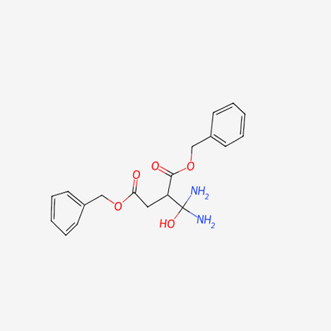 NC(N)(O)C(CC(=O)OCc1ccccc1)C(=O)OCc1ccccc1